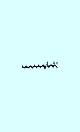 CC/C=C/CCCCCCCC(=O)NCCC[N+](C)(C)C